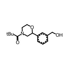 CC(C)(C)C(=O)N1CCOC(c2cccc(CO)c2)C1